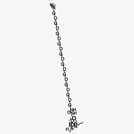 CCCCc1nc2c(N)nnc(OC(C)C)c2n1Cc1ccc(CNC(=O)NCCOCCOCCOCCOCCOCCOCCOCCOCCOCCOCCOCCOCCOCCOCCOCCOCCOCCOCCOCCN=[N+]=[N-])cc1